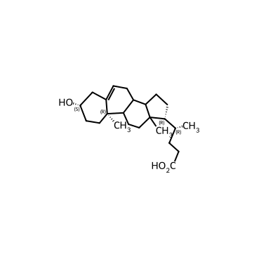 C[C@H](CCC(=O)O)[C@H]1CCC2C3CC=C4C[C@@H](O)CC[C@]4(C)C3CCC21C